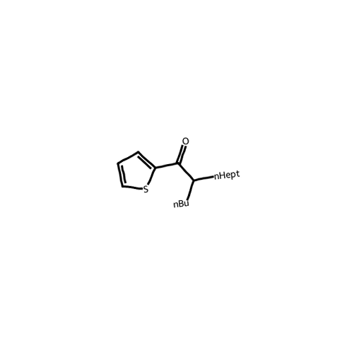 CCCCCCCC(CCCC)C(=O)c1cccs1